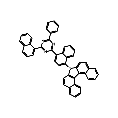 c1ccc(-c2nc(-c3cccc4ccccc34)nc(-c3ccc(-n4c5ccc6ccccc6c5c5c6ccccc6ccc54)c4ccccc34)n2)cc1